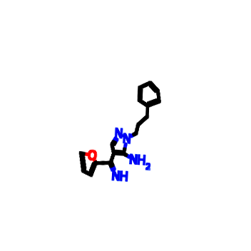 N=C(c1ccco1)c1cnn(CCCc2ccccc2)c1N